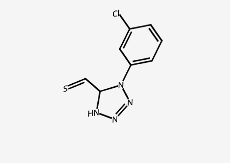 S=CC1NN=NN1c1cccc(Cl)c1